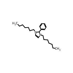 CCCCCCCN1C=CN(CCCCCCC)C1c1ccccc1